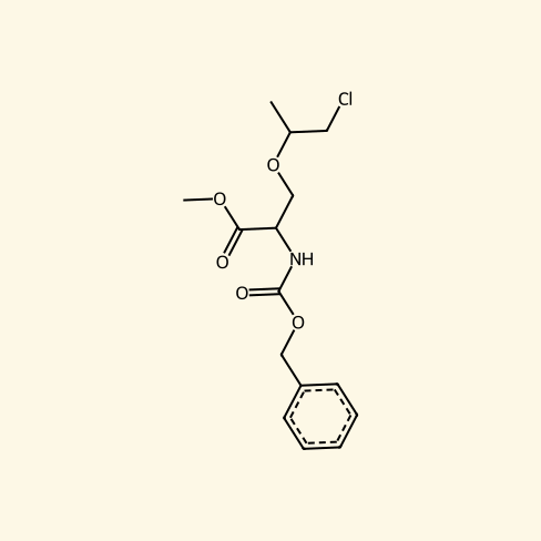 COC(=O)C(COC(C)CCl)NC(=O)OCc1ccccc1